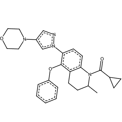 CC1CCc2c(ccc(-n3cc(N4CCOCC4)cn3)c2Oc2ccccc2)N1C(=O)C1CC1